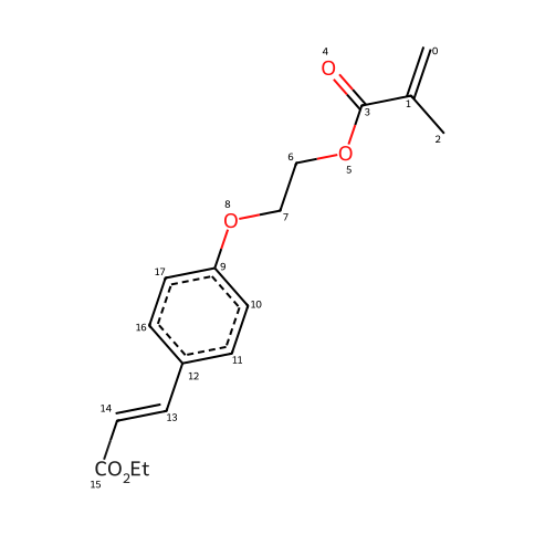 C=C(C)C(=O)OCCOc1ccc(C=CC(=O)OCC)cc1